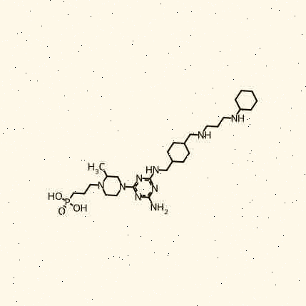 CC1CN(c2nc(N)nc(NCC3CCC(CNCCCNC4CCCCC4)CC3)n2)CCN1CCCP(=O)(O)O